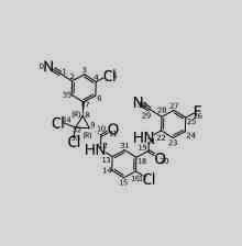 N#Cc1cc(Cl)cc([C@H]2[C@H](C(=O)Nc3ccc(Cl)c(C(=O)Nc4ccc(F)cc4C#N)c3)C2(Cl)Cl)c1